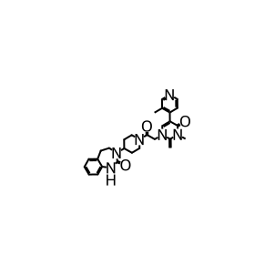 C=C1N(CC(=O)N2CCC(N3CCc4ccccc4NC3=O)CC2)C=C(c2ccncc2C)C(=O)N1C